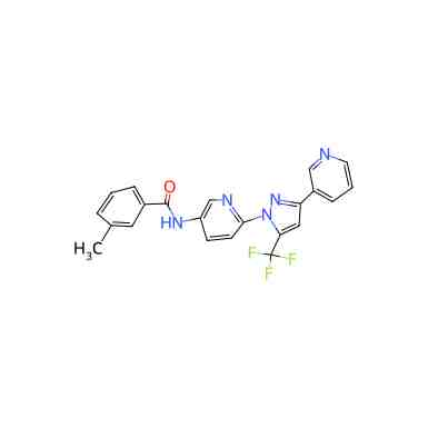 Cc1cccc(C(=O)Nc2ccc(-n3nc(-c4cccnc4)cc3C(F)(F)F)nc2)c1